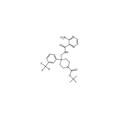 CC(C)(C)OC(=O)N1CCC(CNC(=O)c2nccnc2N)(c2cccc(C(F)(F)F)c2)CC1